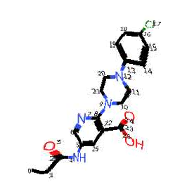 CCC(=O)Nc1cnc(N2CCN(c3ccc(Cl)cc3)CC2)c(C(=O)O)c1